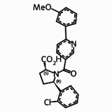 COc1cccc(-c2ccc(C(=O)N3[C@@H](c4ccccc4Cl)CC[C@H]3C(=O)O)cn2)c1